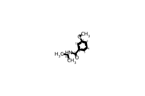 COc1cccc(C(=O)NC(C)C)c1